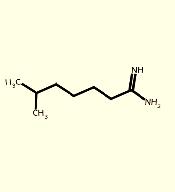 CC(C)[CH]CCCC(=N)N